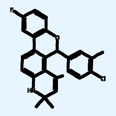 CC1=CC(C)(C)Nc2ccc3c(c21)C(c1ccc(Cl)c(C)c1)Oc1ccc(F)cc1-3